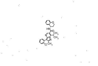 Cc1nn2c(C(C)C)c(C(=O)N[C@H]3CCOc4ccccc43)cnc2c1-c1ccccc1Cl